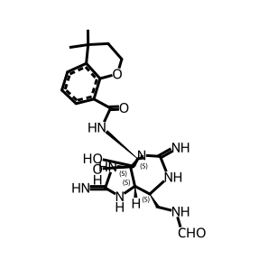 CC1(C)CCOc2c(C(=O)N[C@H]3CN4C(=N)N[C@@H](CNC=O)[C@@H]5NC(=N)N[C@@]54C3(O)O)cccc21